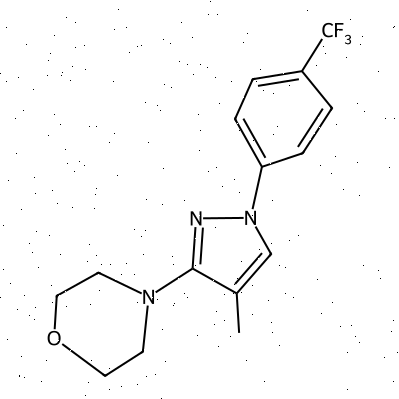 Cc1cn(-c2ccc(C(F)(F)F)cc2)nc1N1CCOCC1